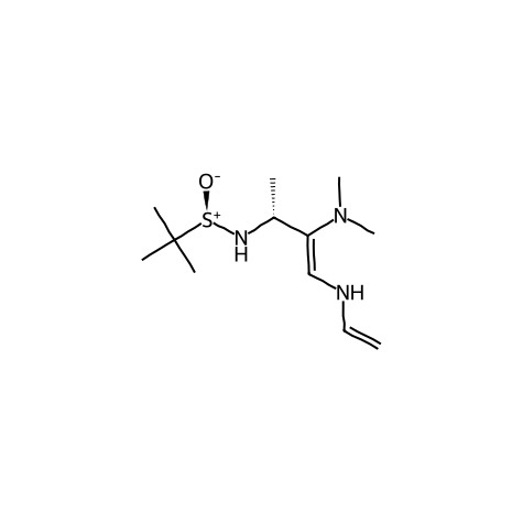 C=CN/C=C(/[C@@H](C)N[S@+]([O-])C(C)(C)C)N(C)C